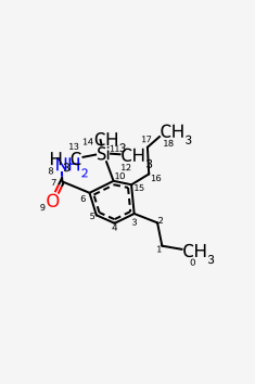 CCCc1ccc(C(N)=O)c([Si](C)(C)C)c1CCC